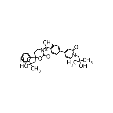 C[C@@H](c1ccc(-c2ccn(CC(C)(C)O)c(=O)c2)cc1)N1CCC(CC(C)(C)O)(c2ccccc2)OC1=O